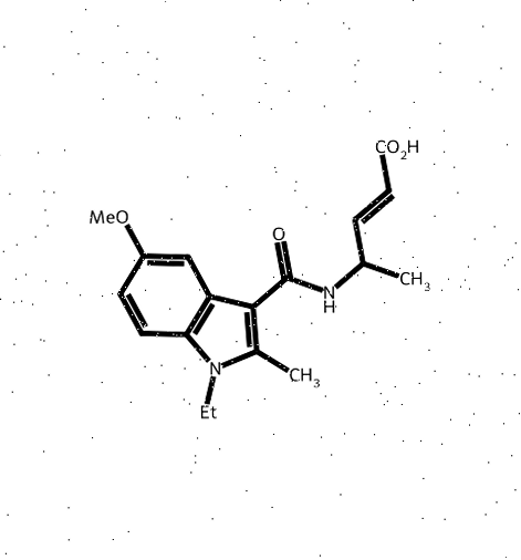 CCn1c(C)c(C(=O)NC(C)/C=C/C(=O)O)c2cc(OC)ccc21